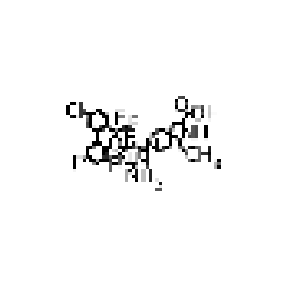 CCC1NC(C(=O)O)CC12CCN(c1cc(O[C@H](c3ccc(Cl)cc3-c3cc(F)cc(F)c3)C(F)(F)F)nc(N)n1)CC2